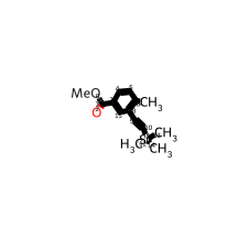 COC(=O)c1ccc(C)c(C#C[Si](C)(C)C)c1